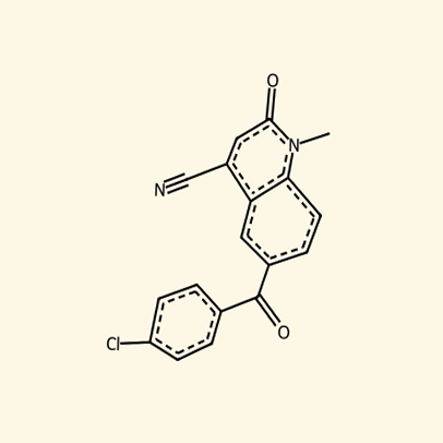 Cn1c(=O)cc(C#N)c2cc(C(=O)c3ccc(Cl)cc3)ccc21